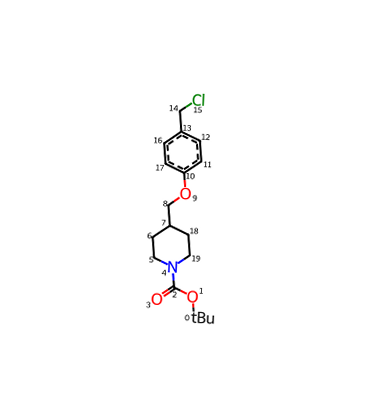 CC(C)(C)OC(=O)N1CCC(COc2ccc(CCl)cc2)CC1